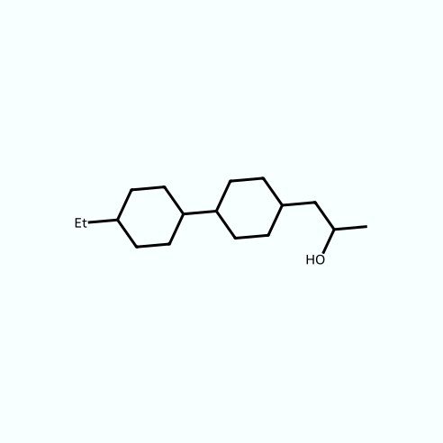 CCC1CCC(C2CCC(CC(C)O)CC2)CC1